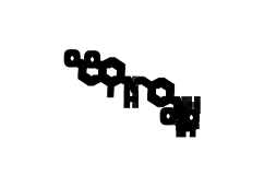 Cc1c(NCc2ccc(NS(=O)(=O)C(C)C)cc2)ccc2oc(=O)ccc12